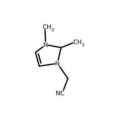 CC1N(C)C=CN1CC#N